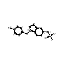 CS(=O)(=O)Nc1ccc2c(ccn2Cc2ccc(Cl)cc2)c1